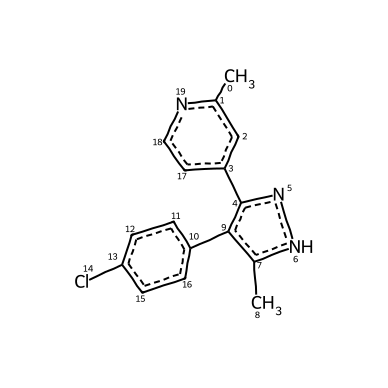 Cc1cc(-c2n[nH]c(C)c2-c2ccc(Cl)cc2)ccn1